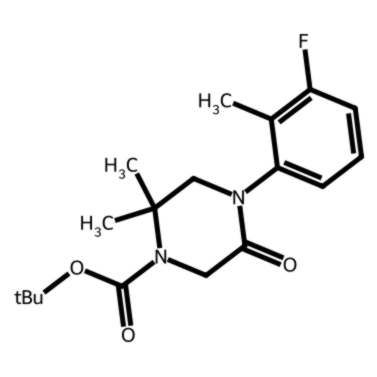 Cc1c(F)cccc1N1CC(C)(C)N(C(=O)OC(C)(C)C)CC1=O